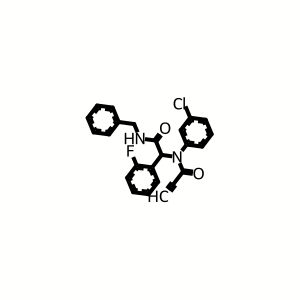 C#CC(=O)N(c1cccc(Cl)c1)C(C(=O)NCc1ccccc1)c1ccccc1F